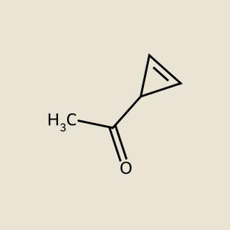 CC(=O)C1C=C1